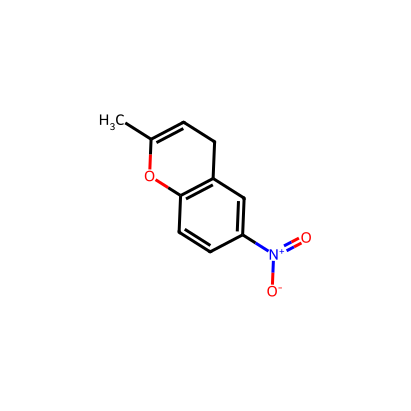 CC1=CCc2cc([N+](=O)[O-])ccc2O1